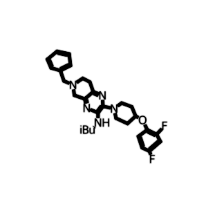 CCC(C)Nc1nc2c(nc1N1CCC(Oc3ccc(F)cc3F)CC1)CCN(Cc1ccccc1)C2